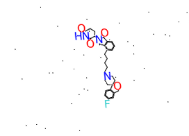 O=C1CCC(N2Cc3c(CCCCCN4CCC5(CC4)OCc4cc(F)ccc45)cccc3C2=O)C(=O)N1